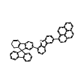 C1=CC2=C(CC1)C1(c3cc(-c4cccc5c4oc4ccc(-c6ccc7ccc8cccc9ccc6c7c89)cc45)ccc32)c2ccccc2-c2ccccc21